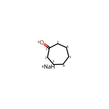 O=C1CCCCCC1.[NaH]